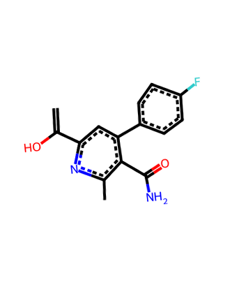 C=C(O)c1cc(-c2ccc(F)cc2)c(C(N)=O)c(C)n1